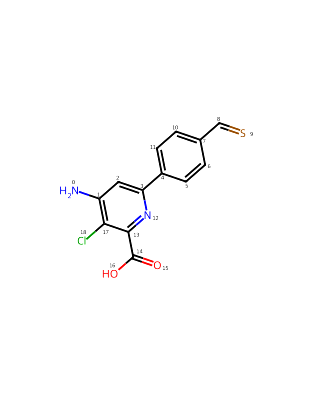 Nc1cc(-c2ccc(C=S)cc2)nc(C(=O)O)c1Cl